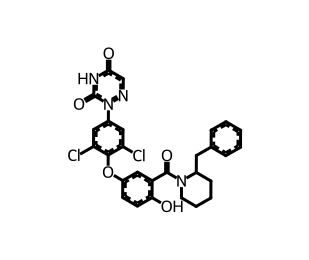 O=C(c1cc(Oc2c(Cl)cc(-n3ncc(=O)[nH]c3=O)cc2Cl)ccc1O)N1CCCCC1Cc1ccccc1